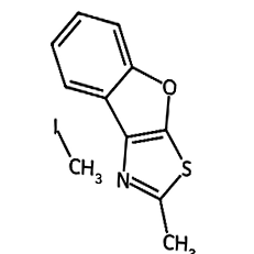 CI.Cc1nc2c(oc3ccccc32)s1